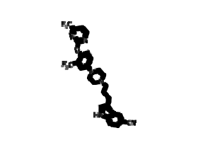 N#Cc1ccc2[nH]cc(CCCN3CCN(c4ccc(Oc5nccc(C(F)(F)F)n5)c(C(F)(F)F)c4)CC3)c2c1